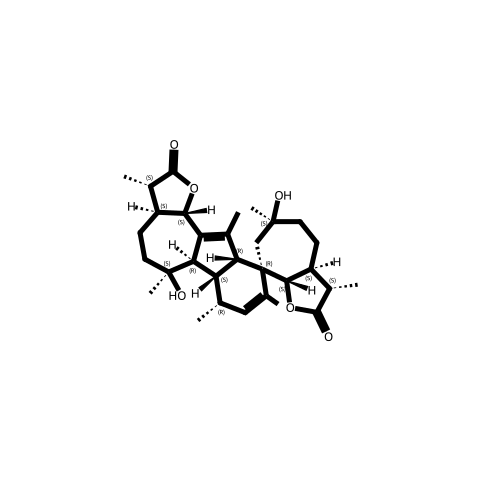 CC1=C[C@H](C)[C@H]2[C@H](C(C)=C3[C@H]4OC(=O)[C@@H](C)[C@@H]4CC[C@](C)(O)[C@@H]32)[C@]12C[C@@](C)(O)CC[C@H]1[C@H](C)C(=O)O[C@@H]12